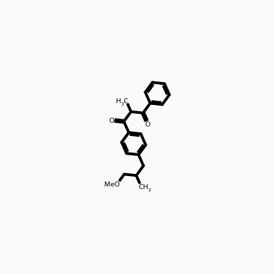 COCC(C)Cc1ccc(C(=O)C(C)C(=O)c2ccccc2)cc1